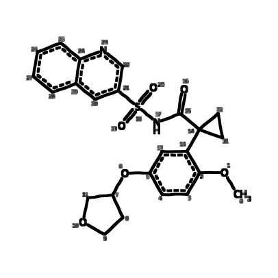 COc1ccc(OC2CCOC2)cc1C1(C(=O)NS(=O)(=O)c2cnc3ccccc3c2)CC1